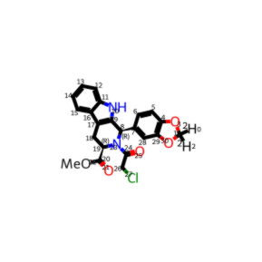 [2H]C1([2H])Oc2ccc([C@@H]3c4[nH]c5ccccc5c4C[C@H](C(=O)OC)N3C(=O)CCl)cc2O1